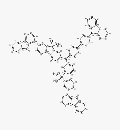 CC1(C)c2cc(-c3cccc4c5c(oc34)CCC=C5)ccc2-c2ccc(N(c3ccc(-c4ccc(-n5c6ccccc6c6ccccc65)cc4)cc3)c3ccc4c(c3)C(C)(C)c3cc(-c5cccc6c5oc5ccccc56)ccc3-4)cc21